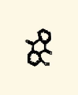 O=C1c2[c]ccc(O)c2C(=O)c2ccccc21